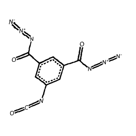 [N-]=[N+]=NC(=O)c1cc(N=C=O)cc(C(=O)N=[N+]=[N-])c1